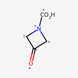 O=C1CN(C(=O)O)C1